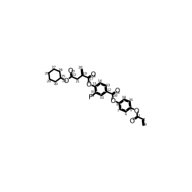 C=CC(=O)Oc1ccc(OC(=O)c2ccc(OC(=O)C(=C)CC(=O)OC3CCCCC3)c(F)c2)cc1